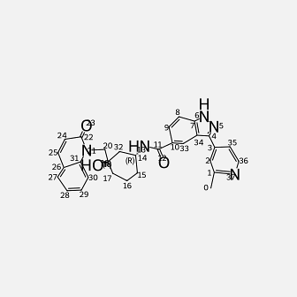 Cc1cc(-c2n[nH]c3ccc(C(=O)N[C@@H]4CCC[C@](O)(Cn5c(=O)ccc6ccccc65)C4)cc23)ccn1